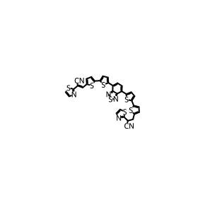 N#C/C(=C\c1ccc(-c2ccc(-c3ccc(-c4ccc(-c5ccc(CC(C#N)c6nccs6)s5)s4)c4nsnc34)s2)s1)c1nccs1